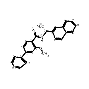 COc1cc(-c2ccncc2)ccc1C(=O)N[C@H](C)c1ccc2ccccc2c1